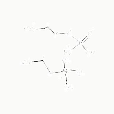 CCCCCCCCCCCCOP(=O)(O)O.CCCCCCCCCCCC[N+](C)(C)C